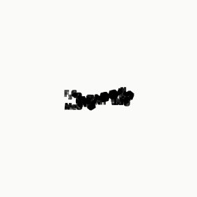 COC(=O)NC(CCOCC(F)(F)F)C(=O)N1CCCC1c1ncc(-c2ccc(-c3ccc(-c4cnc(C5CCCN5C(=O)OC(C)(C)C)[nH]4)cc3)cc2)[nH]1